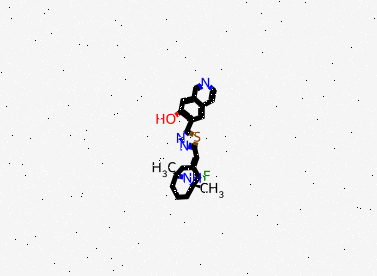 C[C@]12CCC[C@](C)(N1)[C@@H](F)/C(=C/c1nnc(-c3cc4ccncc4cc3O)s1)C2